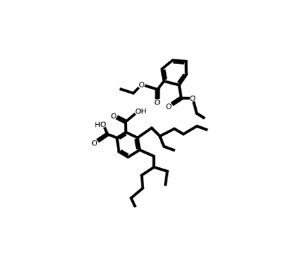 CCCCC(CC)Cc1ccc(C(=O)O)c(C(=O)O)c1CC(CC)CCCC.CCOC(=O)c1ccccc1C(=O)OCC